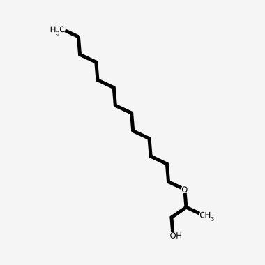 CCCCCCCCCCCCCOC(C)CO